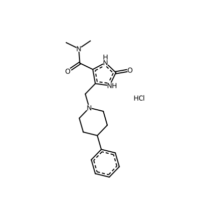 CN(C)C(=O)c1[nH]c(=O)[nH]c1CN1CCC(c2ccccc2)CC1.Cl